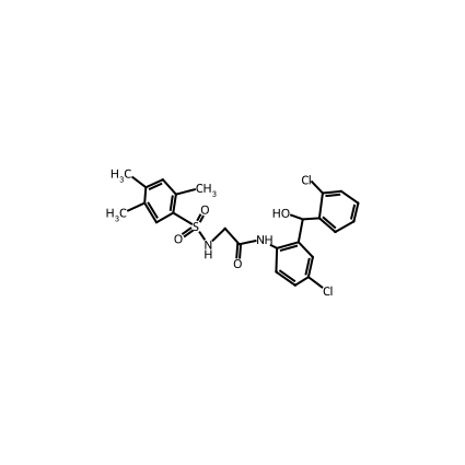 Cc1cc(C)c(S(=O)(=O)NCC(=O)Nc2ccc(Cl)cc2C(O)c2ccccc2Cl)cc1C